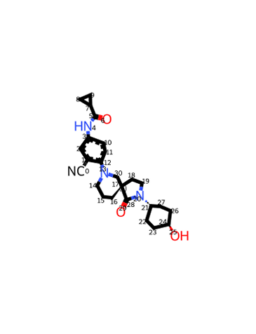 N#Cc1cc(NC(=O)C2CC2)ccc1N1CCC[C@]2(CCN([C@H]3CC[C@H](O)CC3)C2=O)C1